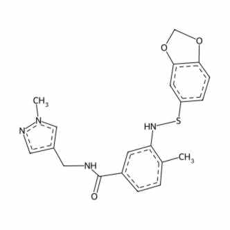 Cc1ccc(C(=O)NCc2cnn(C)c2)cc1NSc1ccc2c(c1)OCO2